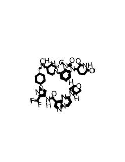 CN(C[C@H]1CC[C@H](n2cc(NC(=O)c3cnn4ccc(N5C[C@H]6C[C@@H]5CO6)nc34)c(C(F)F)n2)CC1)C1CCN(c2cccc3c2n(C)c(=O)n3C2CCC(=O)NC2=O)CC1